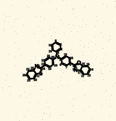 c1ccc(N(c2ccc(-c3nc4ccccc4o3)cc2)c2ccc(-c3nc4ccccc4s3)cc2)cc1